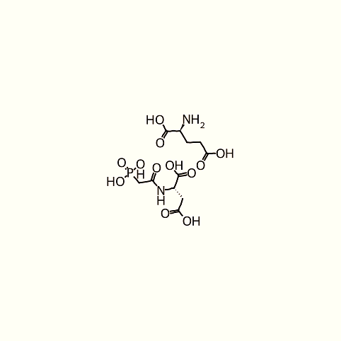 N[C@@H](CCC(=O)O)C(=O)O.O=C(O)C[C@H](NC(=O)CP(=O)(O)O)C(=O)O